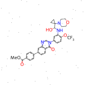 COC(=O)c1ccc(-c2ccc3c(=O)n(-c4ccc(OC(F)(F)F)c(NC(O)C5(N6CCOCC6)CC5)c4)cnc3c2)cc1